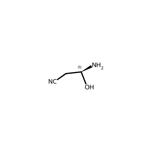 N#CC[C@@H](N)O